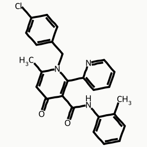 Cc1ccccc1NC(=O)c1c(-c2ccccn2)n(Cc2ccc(Cl)cc2)c(C)cc1=O